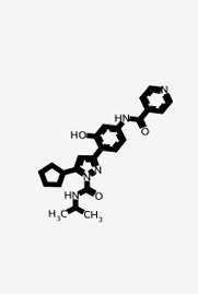 CC(C)NC(=O)n1nc(-c2ccc(NC(=O)c3ccncc3)cc2O)cc1C1CCCC1